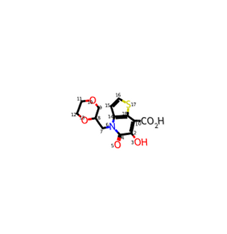 O=C(O)c1c(O)c(=O)n(CC2COCCO2)c2ccsc12